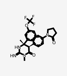 CN1C(=N)N[C@](C)(c2cccc(OC(F)(F)F)c2)[C@@H](c2ccc(N3CCCC3=O)cc2)C1=O